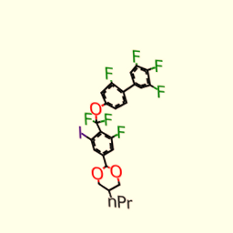 CCCC1COC(c2cc(F)c(C(F)(F)Oc3ccc(-c4cc(F)c(F)c(F)c4)c(F)c3)c(I)c2)OC1